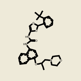 CC(CN1CCOCC1)Oc1ccc(NC(=O)NC2=COC(c3ccccc3C(C)(C)C)O2)c2ccccc12